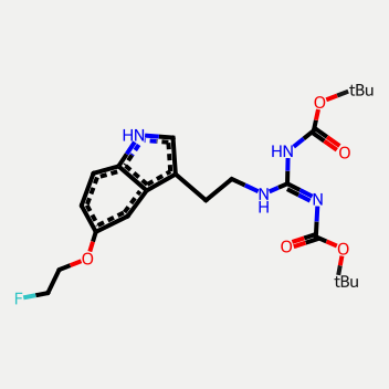 CC(C)(C)OC(=O)/N=C(\NCCc1c[nH]c2ccc(OCCF)cc12)NC(=O)OC(C)(C)C